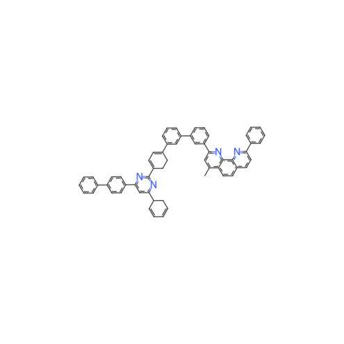 Cc1cc(-c2cccc(-c3cccc(C4=CC=C(c5nc(-c6ccc(-c7ccccc7)cc6)cc(C6C=CC=CC6)n5)CC4)c3)c2)nc2c1ccc1ccc(-c3ccccc3)nc12